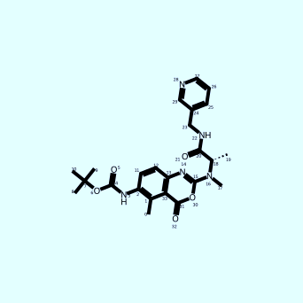 Cc1c(NC(=O)OC(C)(C)C)ccc2nc(N(C)[C@@H](C)C(=O)NCc3cccnc3)oc(=O)c12